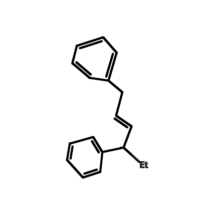 CC[C](C=CCc1ccccc1)c1ccccc1